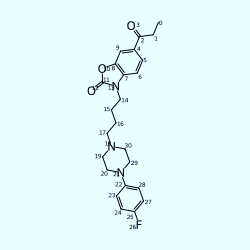 CCC(=O)c1ccc2c(c1)oc(=O)n2CCCCN1CCN(c2ccc(F)cc2)CC1